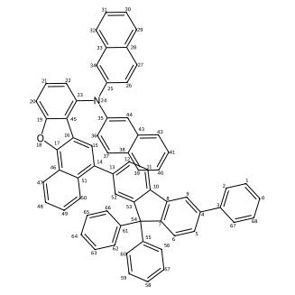 c1ccc(-c2ccc3c(c2)-c2ccc(-c4cc5c(oc6cccc(N(c7ccc8ccccc8c7)c7ccc8ccccc8c7)c65)c5ccccc45)cc2C3(c2ccccc2)c2ccccc2)cc1